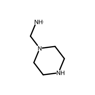 [NH]CN1CCNCC1